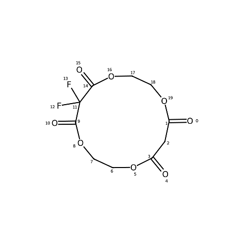 O=C1CC(=O)OCCOC(=O)C(F)(F)C(=O)OCCO1